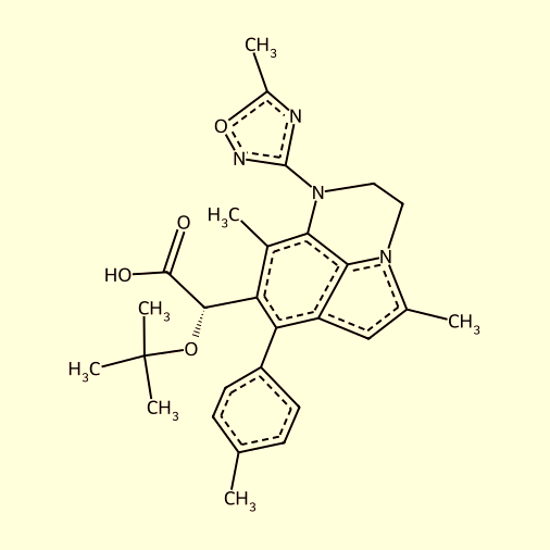 Cc1ccc(-c2c([C@H](OC(C)(C)C)C(=O)O)c(C)c3c4c2cc(C)n4CCN3c2noc(C)n2)cc1